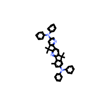 Cc1cc(N(c2ccccc2)c2ccccc2)cc2c1-c1nc3c(cc1C2(C)C)-c1ncc(N(c2ccccc2)c2ccccc2)cc1C3(C)C